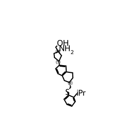 CC(C)c1ccccc1SC[C@@H]1CCc2cc([C@H]3CC[C@](N)(CO)C3)ccc2C1